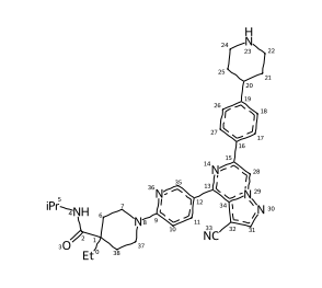 CCC1(C(=O)NC(C)C)CCN(c2ccc(-c3nc(-c4ccc(C5CCNCC5)cc4)cn4ncc(C#N)c34)cn2)CC1